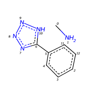 CN.c1ccc(-c2nnn[nH]2)cc1